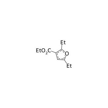 CCOC(=O)c1cc(CC)oc1CC